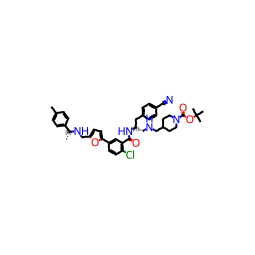 Cc1ccc([C@@H](C)NCc2ccc(-c3ccc(Cl)c(C(=O)N[C@@H](CNCC4CCN(C(=O)OC(C)(C)C)CC4)Cc4ccc(C#N)cc4)c3)o2)cc1